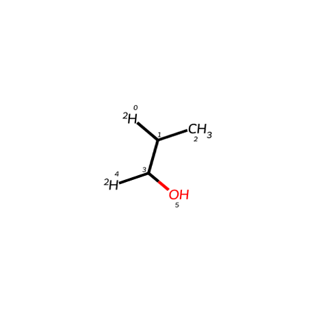 [2H]C(C)C([2H])O